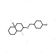 C[C@H]1C(OCC2CCC(F)CC2)CC[C@H]2CCCCC21